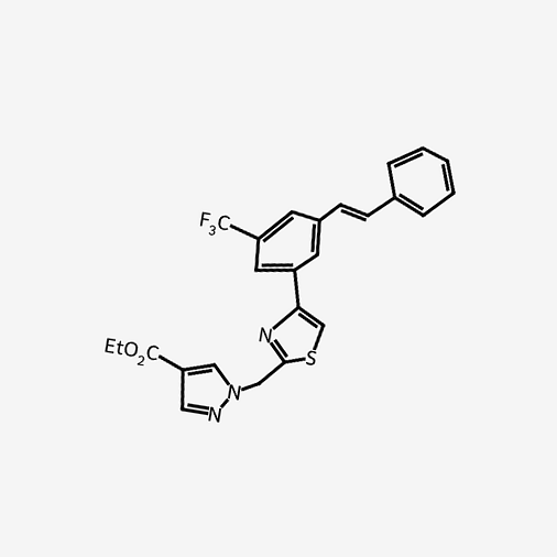 CCOC(=O)c1cnn(Cc2nc(-c3cc(C=Cc4ccccc4)cc(C(F)(F)F)c3)cs2)c1